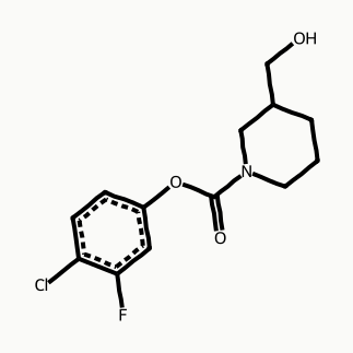 O=C(Oc1ccc(Cl)c(F)c1)N1CCCC(CO)C1